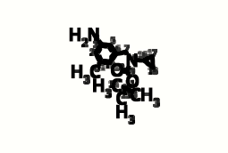 Cc1cc(N)cc(CN(C(=O)OC(C)(C)C)C2CC2)c1